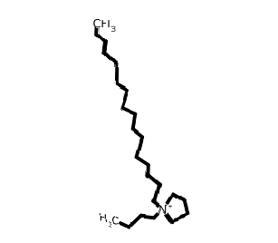 CCCCCCCCCCCCCCCC[N+]1(CCCC)CCCC1